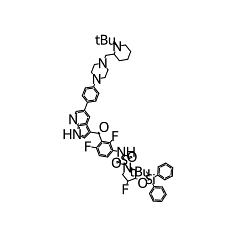 CC(C)(C)N1CCCCC1CN1CCN(c2ccc(-c3cnc4[nH]cc(C(=O)c5c(F)ccc(NS(=O)(=O)N6C[C@H](O[Si](c7ccccc7)(c7ccccc7)C(C)(C)C)[C@@H](F)C6)c5F)c4c3)cc2)CC1